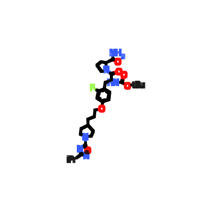 CC(C)c1noc(N2CCC(CCCOc3ccc(C[C@H](NC(=O)OC(C)(C)C)C(=O)N4CCC[C@H]4C(N)=O)c(F)c3)CC2)n1